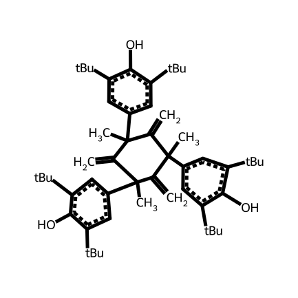 C=C1C(C)(c2cc(C(C)(C)C)c(O)c(C(C)(C)C)c2)C(=C)C(C)(c2cc(C(C)(C)C)c(O)c(C(C)(C)C)c2)C(=C)C1(C)c1cc(C(C)(C)C)c(O)c(C(C)(C)C)c1